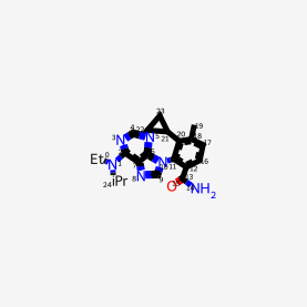 CCN(c1ncnc2c1ncn2-c1c(C(N)=O)ccc(C)c1C1CC1)C(C)C